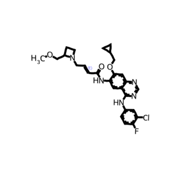 COCC1CCN1C/C=C/C(=O)Nc1cc2c(Nc3ccc(F)c(Cl)c3)ncnc2cc1OCC1CC1